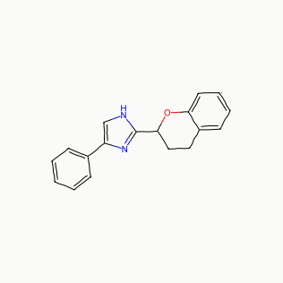 [c]1ccc2c(c1)OC(c1nc(-c3ccccc3)c[nH]1)CC2